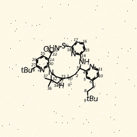 C[C@H]1CC(c2cc(CCC(C)(C)C)ccn2)Nc2cccc(n2)SNC(=O)c2ccc(C(C)(C)C)nc2N2C[C@@H]1CC2(C)C